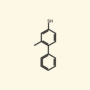 Cc1cc(S)ccc1C1=C=C=CC=C1